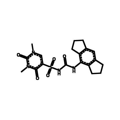 Cn1cc(S(=O)(=O)NC(=O)Nc2c3c(cc4c2CCC4)CCC3)c(=O)n(C)c1=O